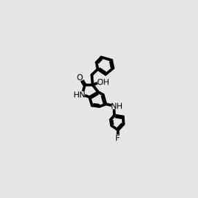 O=C1Nc2ccc(Nc3ccc(F)cc3)cc2C1(O)Cc1ccccc1